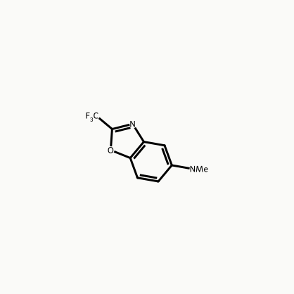 CNc1ccc2oc(C(F)(F)F)nc2c1